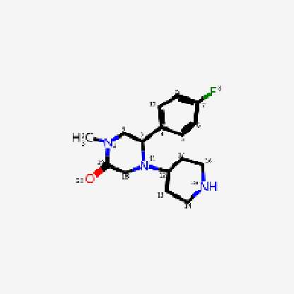 CN1CC(c2ccc(F)cc2)N(C2CCNCC2)CC1=O